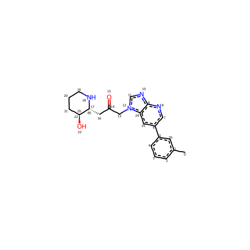 Cc1cccc(-c2cnc3ncn(CC(=O)C[C@H]4NCCC[C@@H]4O)c3c2)c1